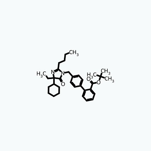 CCCCC1=NC(CC)(C2CCCCC2)C(=O)N1Cc1ccc(-c2ccccc2C(=O)OC(C)(C)C)cc1